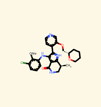 COc1c(Cl)cccc1Nc1c(-c2ccncc2OC[C@@H]2CCCCO2)[nH]c2c1C(=O)NC[C@@H]2C